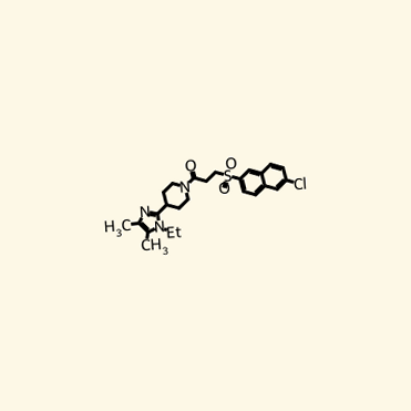 CCn1c(C2CCN(C(=O)CCS(=O)(=O)c3ccc4cc(Cl)ccc4c3)CC2)nc(C)c1C